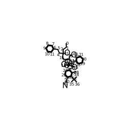 CCCC1(CCc2ccccc2)CC(O)=C(N(c2ccccc2)S(=O)(=O)c2ccc(C#N)c(C(C)(C)C)c2C)C(=O)O1